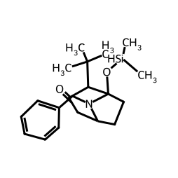 C[SiH](C)OC12CCC(CC(=O)C1C(C)(C)C)N2Cc1ccccc1